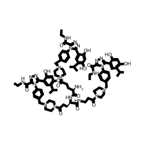 CCNC(=O)c1nnc(-c2cc(C(C)C)c(O)cc2O)n1-c1ccc(CN2CCN(C(=O)CCNC(=O)[C@@H](CCC(=O)N3CCN(Cc4ccc(-n5c(C(=O)NCC)nnc5-c5cc(C(C)C)c(O)cc5O)cc4)CC3)NC(=O)[C@H](N)CCC(=O)N3CCN(Cc4ccc(-n5c(C(=O)NCC)nnc5-c5cc(C(C)C)c(O)cc5O)cc4)CC3)CC2)cc1